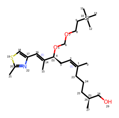 C/C(=C/C[C@H](OCOCC[Si](C)(C)C)/C(C)=C/c1csc(C)n1)CCC[C@H](C)CO